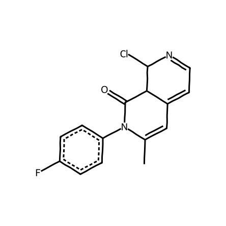 CC1=CC2=CC=NC(Cl)C2C(=O)N1c1ccc(F)cc1